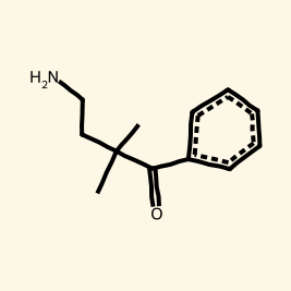 CC(C)(CCN)C(=O)c1ccccc1